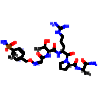 C=C(/C=C\C(=C/C)CO/N=C\C(=O)N[C@H](C(=O)N[C@@H](CCCNC(=N)N)C(=O)N1CCC[C@H]1C(=O)N[C@@H](C)C(N)=O)C(C)O)S(N)(=O)=O